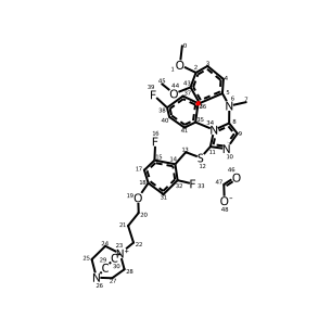 COc1ccc(N(C)c2cnc(SCc3c(F)cc(OCCC[N+]45CCN(CC4)CC5)cc3F)n2-c2ccc(F)cc2)cc1OC.O=C[O-]